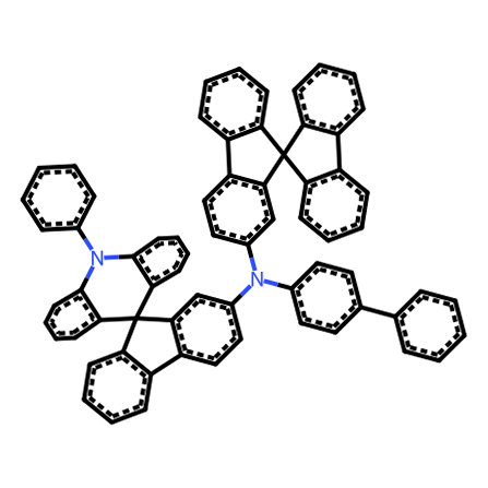 c1ccc(-c2ccc(N(c3ccc4c(c3)C3(c5ccccc5-c5ccccc53)c3ccccc3-4)c3ccc4c(c3)C3(c5ccccc5-4)c4ccccc4N(c4ccccc4)c4ccccc43)cc2)cc1